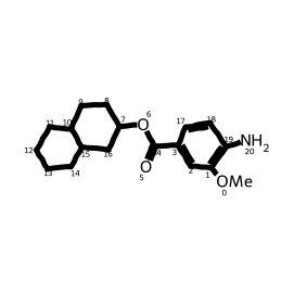 COc1cc(C(=O)OC2CCC3CCCCC3C2)ccc1N